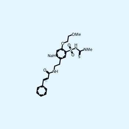 CNC(=S)NS(=O)(=O)c1cc(CCNC(=O)/C=C/c2ccccc2)ccc1OCCOC.[NaH]